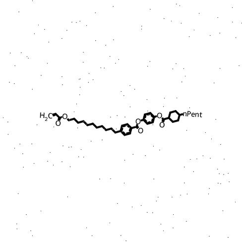 C=CC(=O)OCCCCCCCCCCCc1ccc(C(=O)Oc2ccc(OC(=O)C3CCC(CCCCC)CC3)cc2)cc1